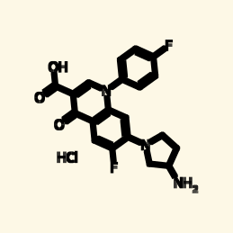 Cl.NC1CCN(c2cc3c(cc2F)c(=O)c(C(=O)O)cn3-c2ccc(F)cc2)C1